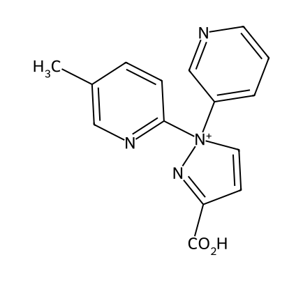 Cc1ccc([N+]2(c3cccnc3)C=CC(C(=O)O)=N2)nc1